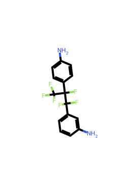 Nc1ccc(C(F)(C(F)(F)F)C(F)(F)c2cccc(N)c2)cc1